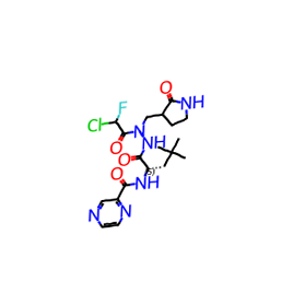 CC(C)(C)C[C@H](NC(=O)c1cnccn1)C(=O)NN(CC1CCNC1=O)C(=O)C(F)Cl